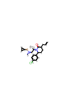 C=CCC1CCC(c2ccc(Cl)cc2)N(C(CC)CN(C)SC2CC2)C1=O